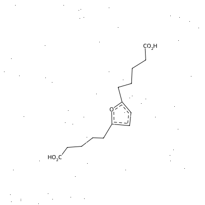 O=C(O)CCCCc1ccc(CCCCC(=O)O)o1